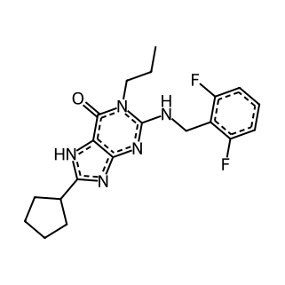 CCCn1c(NCc2c(F)cccc2F)nc2nc(C3CCCC3)[nH]c2c1=O